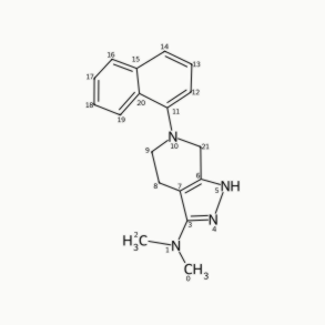 CN(C)c1n[nH]c2c1CCN(c1cccc3ccccc13)C2